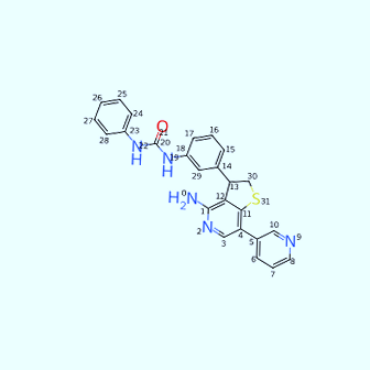 Nc1ncc(-c2cccnc2)c2c1C(c1cccc(NC(=O)Nc3ccccc3)c1)CS2